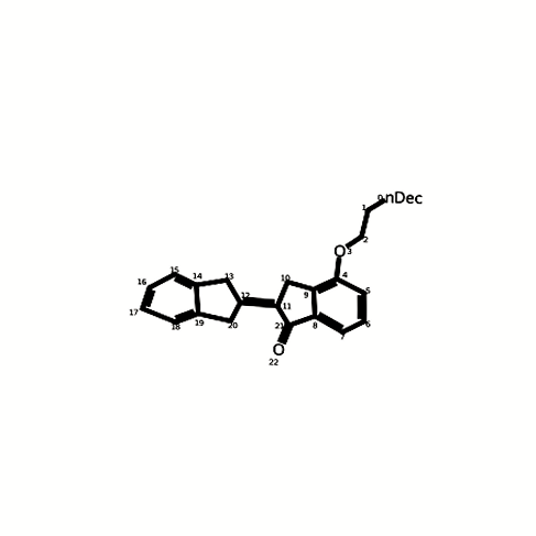 CCCCCCCCCCCCOc1cccc2c1CC(=C1Cc3ccccc3C1)C2=O